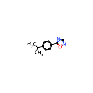 CC(C)c1ccc(-c2ncno2)cc1